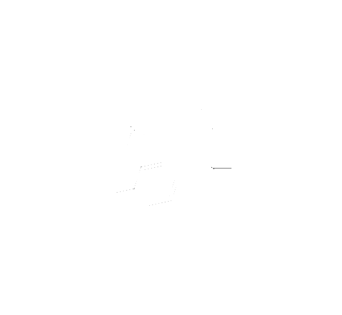 NOc1ccccc1O.O=C(Cl)c1ccccc1